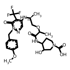 COc1ccc(Cn2ncc(N[C@@H](C)COC(C)C(=O)NC3CCN(C(=O)O)CC3O)c(C(F)(F)F)c2=O)cc1